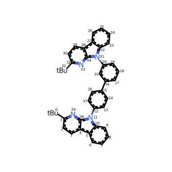 CC(C)(C)c1ccc2c3ccccc3n(-c3ccc(-c4cccc(-n5c6ccccc6c6ccc(C(C)(C)C)nc65)c4)cc3)c2n1